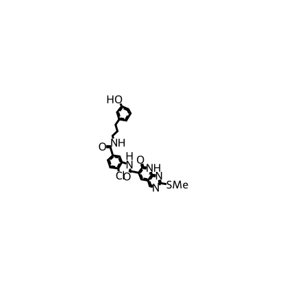 CSc1ncc2cc(C(=O)Nc3cc(C(=O)NCCCc4cccc(O)c4)ccc3Cl)c(=O)[nH]c2n1